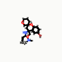 C=CCNC1(CON(C)C(=O)O)CC2(CCCOC2)Oc2ccc(Br)cc21